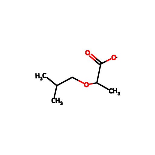 CC(C)COC(C)C([O])=O